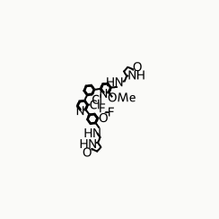 COc1nc(-c2cccc(-c3ccnc(-c4ccc(CNCC5CCC(=O)N5)c(OC(F)F)c4)c3Cl)c2Cl)ccc1CNCC1CCC(=O)N1